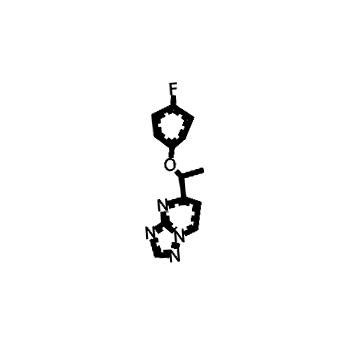 CC(Oc1ccc(F)cc1)c1ccn2ncnc2n1